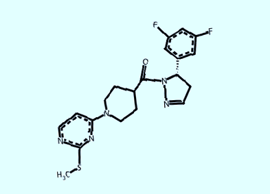 CSc1nccc(N2CCC(C(=O)N3N=CC[C@H]3c3cc(F)cc(F)c3)CC2)n1